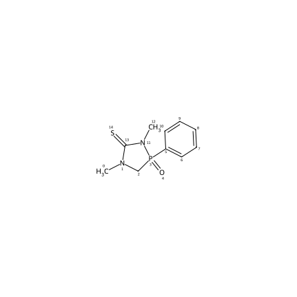 CN1CP(=O)(c2ccccc2)N(C)C1=S